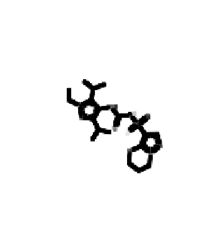 CCn1nc(C(C)C)c(NC(=O)NS(=O)(=O)c2cnn3c2OCCC3)c1C(C)C